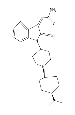 CC(C)[C@H]1CC[C@@H](N2CCC(N3C(=O)/C(=C\C(N)=O)c4ccccc43)CC2)CC1